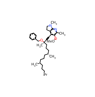 COOc1c(C)nc2c(c1C#C[C@@](C)(CCC[C@H](C)CCC[C@H](C)CCCC(C)C)OCc1ccccc1)CCN2C